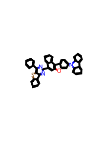 c1ccc(-c2nc(-c3cc4oc5cc(-n6c7ccccc7c7ccccc76)ccc5c4c4ccccc34)nc3c2sc2ccccc23)cc1